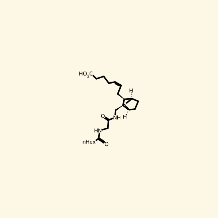 CCCCCCC(=O)NCC(=O)NC[C@H]1[C@@H](C/C=C\CCCC(=O)O)[C@H]2CC[C@@H]1S2